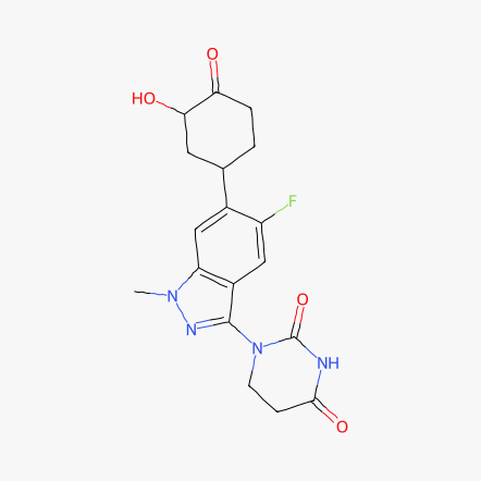 Cn1nc(N2CCC(=O)NC2=O)c2cc(F)c(C3CCC(=O)C(O)C3)cc21